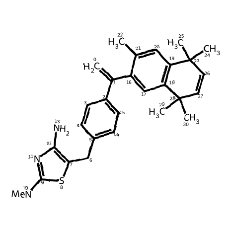 C=C(c1ccc(Cc2sc(NC)nc2N)cc1)c1cc2c(cc1C)C(C)(C)C=CC2(C)C